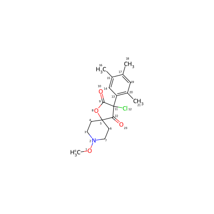 CON1CCC2(CC1)OC(=O)C(Cl)(c1cc(C)c(C)cc1C)C2=O